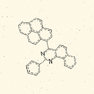 c1ccc(-c2nc(-c3ccc4ccc5cccc6ccc3c4c56)c3ccc4ccccc4c3n2)cc1